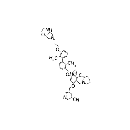 Cc1c(COc2cc(OCc3cncc(C#N)c3)c(CN3CCCC[C@H]3C(=O)O)cc2Cl)cccc1-c1cccc(OCCCN2CC3NCCOC3C2)c1C